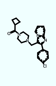 O=C(C1CCC1)N1CCN(Cc2c(-c3ccc(Cl)cc3)nc3ccccn23)CC1